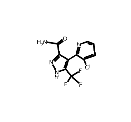 NC(=O)c1n[nH]c(C(F)(F)F)c1-c1ncccc1Cl